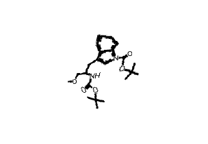 COCC(Cc1cn(C(=O)OC(C)(C)C)c2ccccc12)NC(=O)OC(C)(C)C